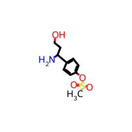 CS(=O)(=O)Oc1ccc(C(N)CCO)cc1